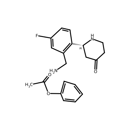 CC(=O)Oc1ccccc1.NCc1cc(F)ccc1[C@H]1CC(=O)CCN1